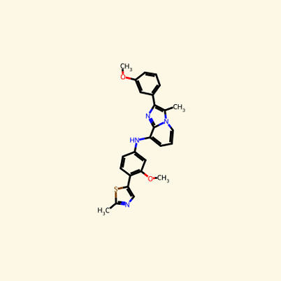 COc1cccc(-c2nc3c(Nc4ccc(-c5cnc(C)s5)c(OC)c4)cccn3c2C)c1